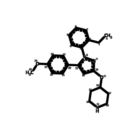 CCc1ccccc1-n1nc(OC2CCNCC2)cc1-c1ccc(OC)cc1